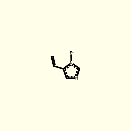 C=Cc1cncn1CC